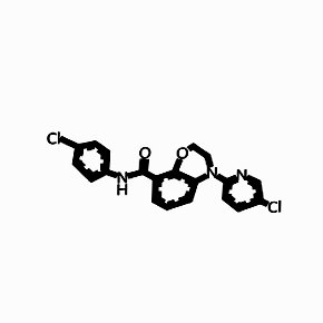 O=C(Nc1ccc(Cl)cc1)c1cccc2c1OCCN2c1ccc(Cl)cn1